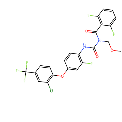 COCN(C(=O)Nc1ccc(Oc2ccc(C(F)(F)F)cc2Cl)cc1F)C(=O)c1c(F)cccc1F